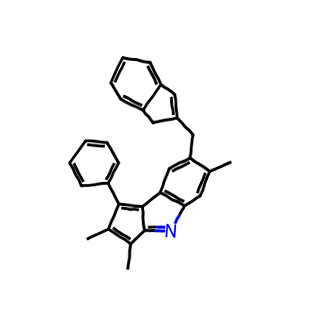 CC1=C(C)C(c2ccccc2)=C2C1=Nc1cc(C)c(CC3=Cc4ccccc4C3)cc12